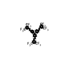 FC(F)(F)c1cc(/C=C/c2ccc(N(c3ccc(/C=C/c4cc(C(F)(F)F)cc(C(F)(F)F)c4)cc3)c3ccc(/C=C/c4cc(C(F)(F)F)cc(C(F)(F)F)c4)cc3)cc2)cc(C(F)(F)F)c1